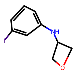 Ic1cccc(NC2COC2)c1